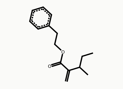 C=C(C(=O)OCCc1ccccc1)C(C)CC